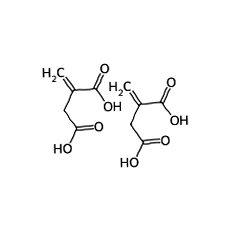 C=C(CC(=O)O)C(=O)O.C=C(CC(=O)O)C(=O)O